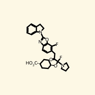 O=C(Cc1ccc2nc(N3CCc4ccccc43)oc2c1F)C(F)(O[C@H]1CC[C@H](C(=O)O)CC1)N1CCCC1